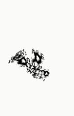 C=CCN1CC(=O)N2[C@@H](Cc3ccc(NS(C)(=O)=O)cc3)C(=O)N(Cc3ccc(F)cc3F)C[C@@H]2N1C(=O)NCc1ccccc1